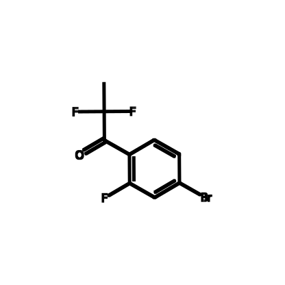 CC(F)(F)C(=O)c1ccc(Br)cc1F